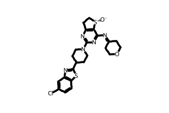 [O-][S+]1CCc2nc(N3CCC(c4nc5cc(Cl)ccc5s4)CC3)nc(N=C3CCOCC3)c21